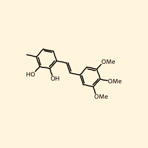 COc1cc(C=Cc2ccc(C)c(O)c2O)cc(OC)c1OC